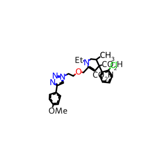 CCN1CC(C)C(C(=O)O)(c2ccccc2Cl)C(C(=O)O)=C1COCCn1cc(-c2ccc(OC)cc2)nn1